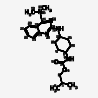 CC(C)COC(=O)NC1CCC(Nc2nc(N(C)C)c3ccccc3n2)CC1